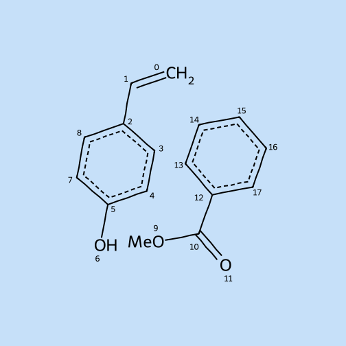 C=Cc1ccc(O)cc1.COC(=O)c1ccccc1